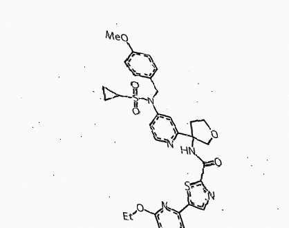 CCOc1cncc(-c2cnc(C(=O)NC3(c4cc(N(Cc5ccc(OC)cc5)S(=O)(=O)C5CC5)ccn4)CCOC3)s2)n1